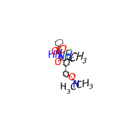 Cc1cc(-c2cccc(OCCN(C)C)c2)cc(C(=O)NNS(=O)(=O)C2CCCCC2)c1F